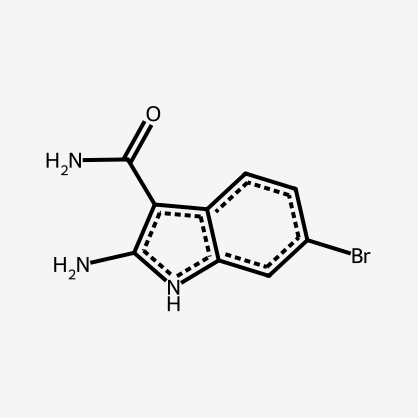 NC(=O)c1c(N)[nH]c2cc(Br)ccc12